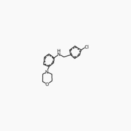 Clc1ccc(CNc2cccc(N3CCOCC3)c2)cc1